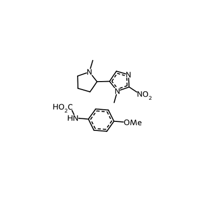 CN1CCCC1c1cnc([N+](=O)[O-])n1C.COc1ccc(NC(=O)O)cc1